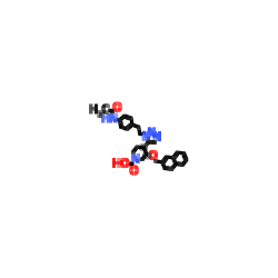 CC(=O)Nc1ccc(CCn2nncc2[C@@H]2CCN(C(=O)O)C[C@H]2OCc2ccc3ccccc3c2)cc1